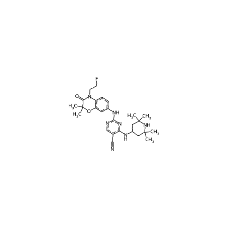 CC1(C)CC(Nc2nc(Nc3ccc4c(c3)OC(C)(C)C(=O)N4CCF)ncc2C#N)CC(C)(C)N1